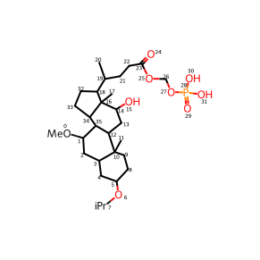 COC1CC2CC(OC(C)C)CCC2(C)C2CC(O)C3(C)C(C(C)CCC(=O)OCOP(=O)(O)O)CCC3C12